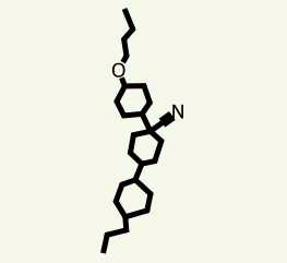 CCCCOC1CCC(C2(C#N)CCC(C3CCC(CCC)CC3)CC2)CC1